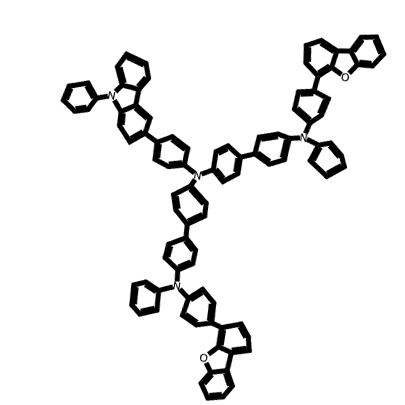 c1ccc(N(c2ccc(-c3ccc(N(c4ccc(-c5ccc(N(c6ccccc6)c6ccc(-c7cccc8c7oc7ccccc78)cc6)cc5)cc4)c4ccc(-c5ccc6c(c5)c5ccccc5n6-c5ccccc5)cc4)cc3)cc2)c2ccc(-c3cccc4c3oc3ccccc34)cc2)cc1